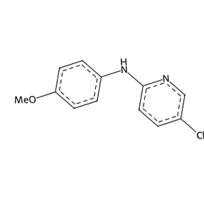 COc1ccc(Nc2ccc(Cl)cn2)cc1